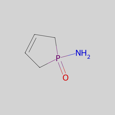 NP1(=O)CC=CC1